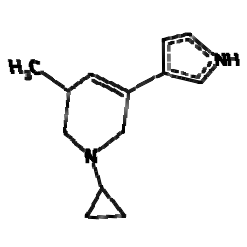 CC1C=C(c2cc[nH]c2)CN(C2CC2)C1